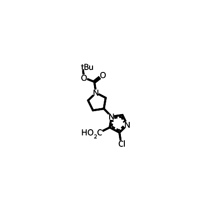 CC(C)(C)OC(=O)N1CCC(n2cnc(Cl)c2C(=O)O)C1